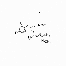 C=N/C(N)=N\C=C(\N)CCC(CCNC)Cc1ccc(F)cc1F